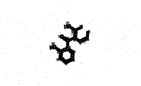 C/C=C\C(C(=O)c1ccccc1O)=C(/C)O